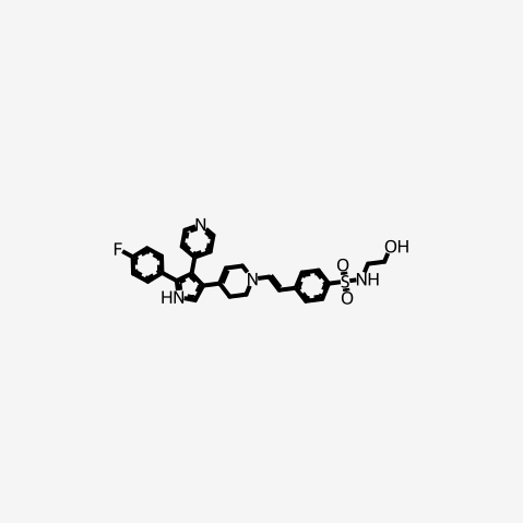 O=S(=O)(NCCO)c1ccc(C=CN2CC=C(c3c[nH]c(-c4ccc(F)cc4)c3-c3ccncc3)CC2)cc1